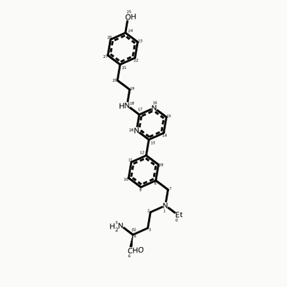 CCN(CC[C@H](N)C=O)Cc1cccc(-c2ccnc(NCCc3ccc(O)cc3)n2)c1